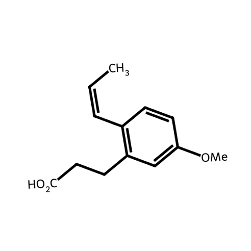 C/C=C\c1ccc(OC)cc1CCC(=O)O